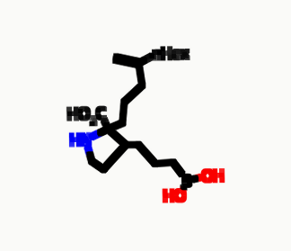 C=C(CCCCCC)CCCC1(C(=O)O)NCCC1CCCB(O)O